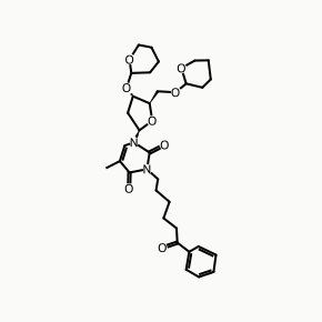 Cc1cn([C@H]2C[C@H](OC3CCCCO3)[C@@H](COC3CCCCO3)O2)c(=O)n(CCCCCC(=O)c2ccccc2)c1=O